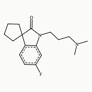 CN(C)CCCN1C(=O)C2(CCCC2)c2ccc(F)cc21